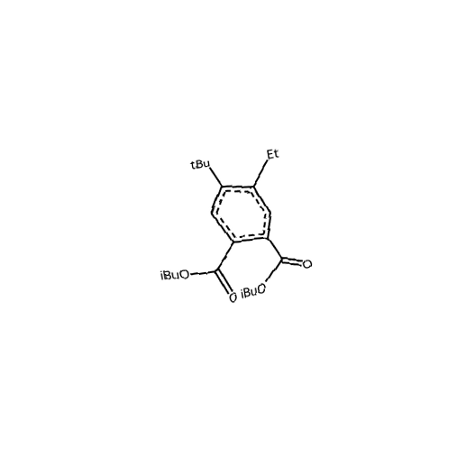 CCc1cc(C(=O)OCC(C)C)c(C(=O)OCC(C)C)cc1C(C)(C)C